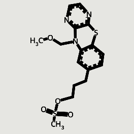 COCN1c2cc(CCCOS(C)(=O)=O)ccc2Sc2nccnc21